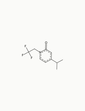 CC(C)c1ccn(CC(F)(F)F)c(=O)c1